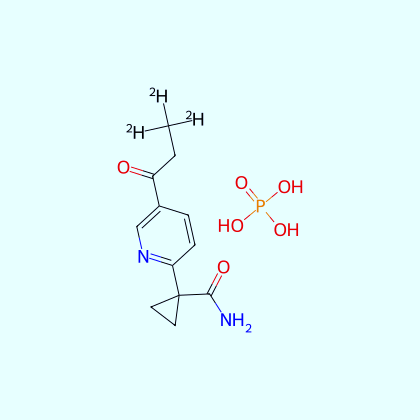 O=P(O)(O)O.[2H]C([2H])([2H])CC(=O)c1ccc(C2(C(N)=O)CC2)nc1